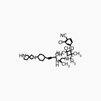 C=C(CN[C@H]1C(C)(C)[C@H](Oc2ccc(C#N)c(Cl)c2)C1(C)C)NC(O)C#CC1CCC(N2CC3(CCNC3)C2)CC1